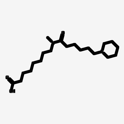 CN(CCCCCCCC(=O)O)C(=O)CCCCCN1CCCCC1